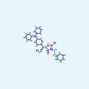 C=C(c1ccc(N(c2ccccc2)c2ccccc2)cc1)C1OC(=O)N(CCc2ccccc2)C1=O